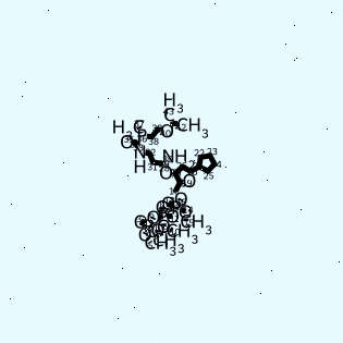 COP(=O)(OC)OP(=O)(OC)OP(=O)(OC)OCC1OC(C2CCCC2)C[C@H]1OC(N)CCNC(=O)P(C)CCOC(C)C